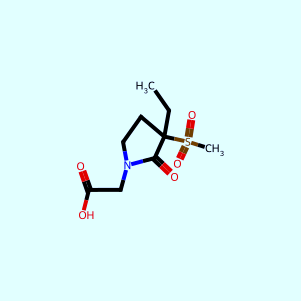 CCC1(S(C)(=O)=O)CCN(CC(=O)O)C1=O